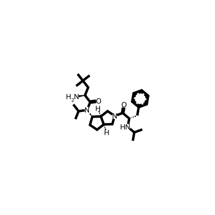 CC(C)N[C@@H](Cc1ccccc1)C(=O)N1C[C@H]2CC[C@H](N(C(=O)[C@@H](N)CC(C)(C)C)C(C)C)[C@H]2C1